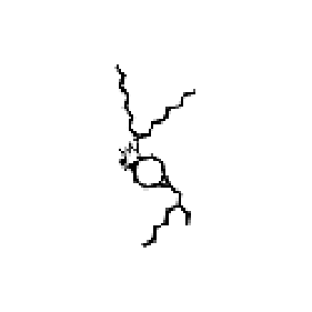 CCCCCCCC(CCCCCCC)n1nnc2c1CCC1C(CC2)C1CC(CC)CCCCC